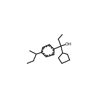 CCC(C)c1ccc(C(O)(CC)C2CCCC2)cc1